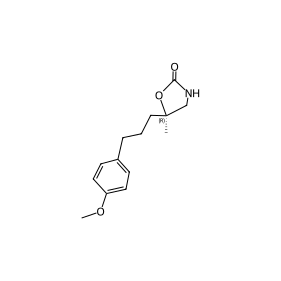 COc1ccc(CCC[C@]2(C)CNC(=O)O2)cc1